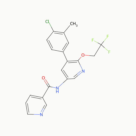 Cc1cc(-c2cc(NC(=O)c3cccnc3)cnc2OCC(F)(F)F)ccc1Cl